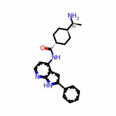 C[C@H](N)[C@H]1CC[C@H](C(=O)Nc2ccnc3[nH]c(-c4ccccc4)cc23)CC1